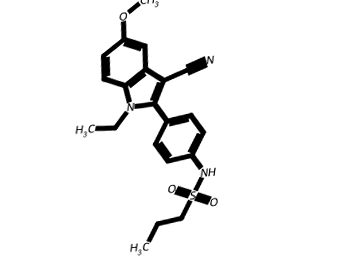 CCCS(=O)(=O)Nc1ccc(-c2c(C#N)c3cc(OC)ccc3n2CC)cc1